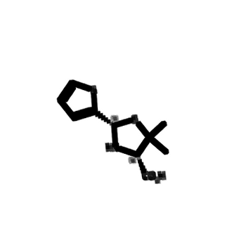 CC1(C)S[C@@H](c2cccs2)N[C@H]1C(=O)O